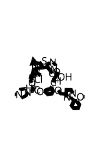 COc1ccccc1-c1nccc(COc2ccc3cc2C[C@@H](C(=O)O)Oc2ncnc4sc(C5CC5)c(c24)[C@H]2CC=C(O[C@H](CN4CCN(C)CC4)CO3)C(Cl)=C2C)n1